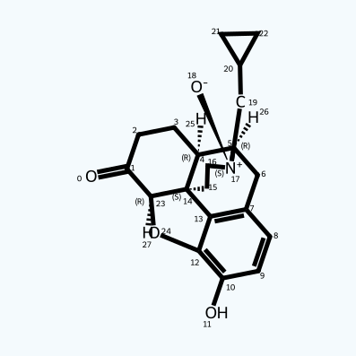 O=C1CC[C@H]2[C@H]3Cc4ccc(O)c5c4[C@@]2(CC[N@+]3([O-])CC2CC2)[C@H]1O5